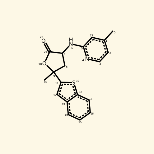 Cc1ccnc(NC2CC(C)(c3cc4ccccc4s3)OC2=O)c1